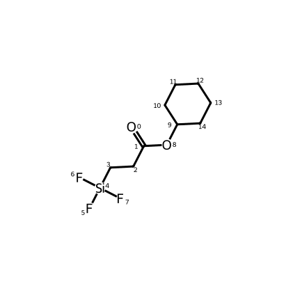 O=C(CC[Si](F)(F)F)OC1CCCCC1